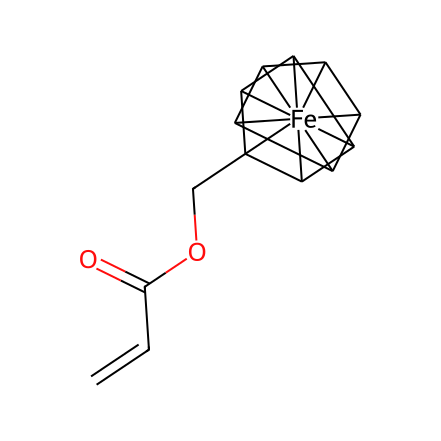 C=CC(=O)OC[C]12[CH]3[CH]4[CH]5[CH]1[Fe]45321678[CH]2[CH]1[CH]6[CH]7[CH]28